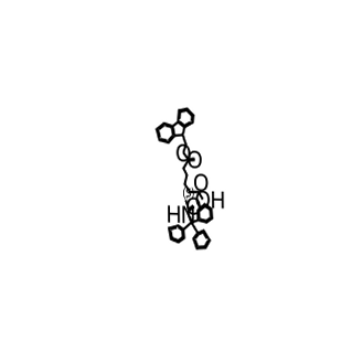 O=C(C[C@H](CCCC(=O)OCC1c2ccccc2-c2ccccc21)C(=O)O)NC(c1ccccc1)(c1ccccc1)c1ccccc1